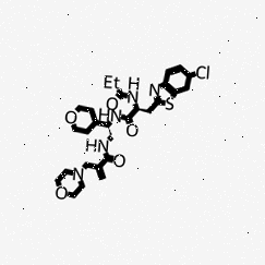 C=C(CN1CCOCC1)C(=O)NC[C@@H](NC(=O)[C@H](Cc1nc2c(s1)CC(Cl)C=C2)NC(=O)CC)C1CCOCC1